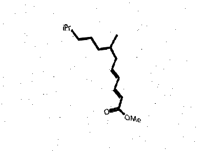 COC(=O)C=CC=CCC(C)CCCC(C)C